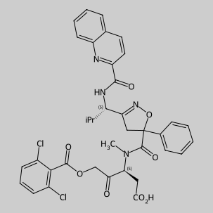 CC(C)[C@H](NC(=O)c1ccc2ccccc2n1)C1=NOC(C(=O)N(C)[C@@H](CC(=O)O)C(=O)COC(=O)c2c(Cl)cccc2Cl)(c2ccccc2)C1